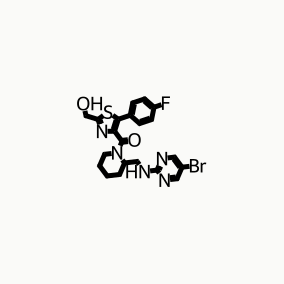 O=C(c1nc(CO)sc1-c1ccc(F)cc1)N1CCCCC1CNc1ncc(Br)cn1